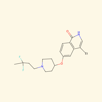 CCc1c[nH]c(=O)c2ccc(OC3CCN(CCC(C)(F)F)CC3)cc12